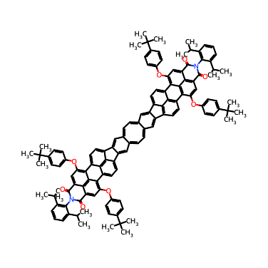 CC(C)c1cccc(C(C)C)c1N1C(=O)c2cc(Oc3ccc(C(C)(C)C)cc3)c3c4ccc5c6cc7ccc8cc9c(cc8ccc7cc6c6ccc(c7c(Oc8ccc(C(C)(C)C)cc8)cc(c2c37)C1=O)c4c56)c1ccc2c3c(Oc4ccc(C(C)(C)C)cc4)cc4c5c(cc(Oc6ccc(C(C)(C)C)cc6)c(c6ccc9c1c62)c53)C(=O)N(c1c(C(C)C)cccc1C(C)C)C4=O